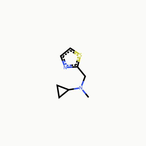 CN(Cc1nccs1)C1CC1